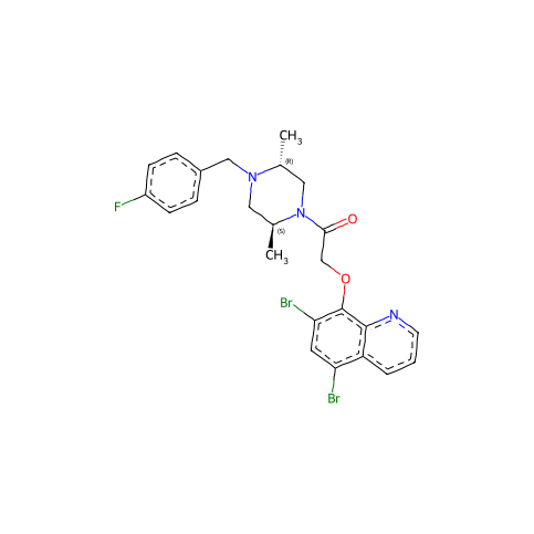 C[C@@H]1CN(C(=O)COc2c(Br)cc(Br)c3cccnc23)[C@@H](C)CN1Cc1ccc(F)cc1